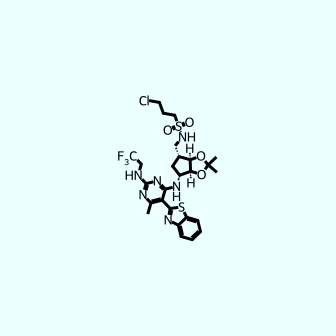 Cc1nc(NCC(F)(F)F)nc(N[C@@H]2C[C@H](CNS(=O)(=O)CCCCl)[C@H]3OC(C)(C)O[C@H]32)c1-c1nc2ccccc2s1